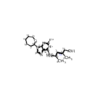 C/C(=C\C(C)Nc1nc(F)nc2c1ncn2C1CCCCCO1)CO